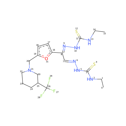 CCNC(=S)N/N=C/C(=N\NC(=S)NCC)c1ccc(CN2CCCC(C(F)(F)F)C2)o1